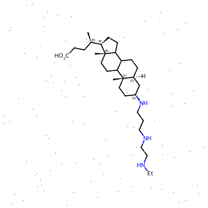 CCNCCNCCCN[C@H]1CC[C@]2(C)C3CC[C@@]4(C)C(CC[C@@H]4[C@H](C)CCC(=O)O)C3CC[C@H]2C1